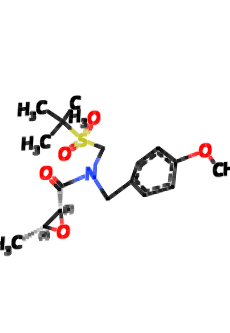 COc1ccc(CN(CS(=O)(=O)C(C)(C)C)C(=O)[C@@H]2O[C@@H]2C)cc1